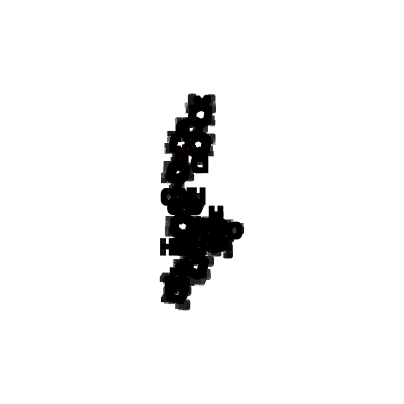 CC1(C)CCC(c2ccc(Cl)cc2)=C(CN2CCN(c3ccc(C(=O)NS(=O)(=O)c4ccc(N[C@H](CCN5CC6CCC(C5)N6Cc5cccc(NC6CCC(=O)NC6=O)c5)CSc5ccccc5)c(S(=O)(=O)C(F)(F)F)c4)cc3)CC2)C1